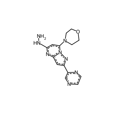 NNc1cc(N2CCOCC2)n2nc(-c3cnccn3)cc2n1